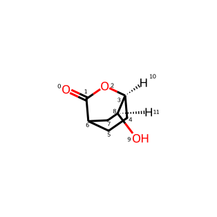 O=C1O[C@H]2CCC1C[C@@H]2O